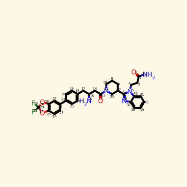 NC(=O)CCn1c(C2CCCN(C(=O)CC(N)Cc3ccc(-c4ccc5c(c4)OC(F)(F)O5)cc3)C2)nc2ccccc21